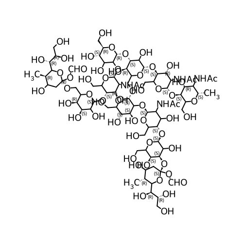 CC(=O)NC1C(O)[C@H](O[C@@H]2OC(CO)[C@H](O)[C@H](O[C@]3(OC=O)CC(O)[C@@H](C)C([C@H](O)[C@H](O)CO)O3)C2O)C(CO)O[C@H]1OC1[C@@H](OCC2O[C@@H](O[C@@H]3C(CO)O[C@@H](O[C@@H]4C(CO)O[C@@H](C)C(NC(C)=O)[C@H]4O)C(NC(C)=O)[C@H]3O)C(O)[C@@H](O[C@H]3O[C@H](CO)[C@@H](O)C(O)C3O[C@@H]3OC(CO)[C@@H](O[C@@H]4OC(CO[C@]5(OC=O)CC(O)[C@@H](C)C([C@H](O)[C@H](O)CO)O5)[C@H](O)[C@H](O)C4O)[C@H](O)C3NC(C)=O)[C@@H]2O)OC(CO)[C@@H](O)[C@@H]1O